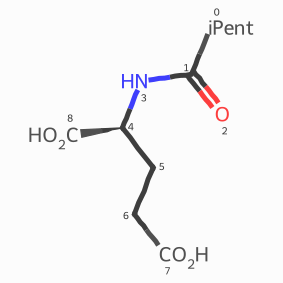 CCCC(C)C(=O)N[C@@H](CCC(=O)O)C(=O)O